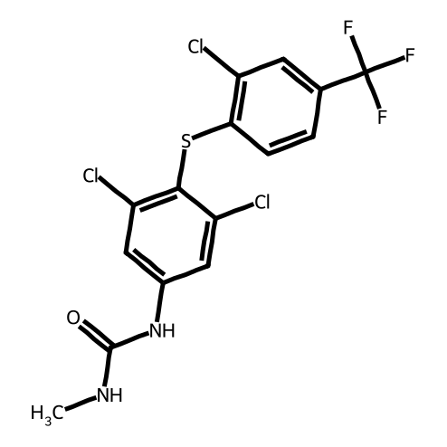 CNC(=O)Nc1cc(Cl)c(Sc2ccc(C(F)(F)F)cc2Cl)c(Cl)c1